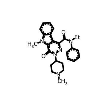 CCN(C(=O)c1nn(C2CCN(C)CC2)c(=O)c2c1c1ccccc1n2C)c1ccccc1